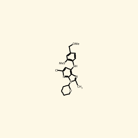 COCc1ccc(Nc2cc(Cl)nc3c2nc(C)n3C2CCCCO2)c(SC)c1